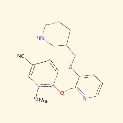 COc1cc(C#N)ccc1Oc1ncccc1OCC1CCCNC1